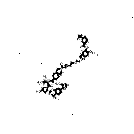 COc1cc2nn(CCNCCNCC(=O)N3CCC4(CCC(C(=O)N[C@H](C(=O)N5C[C@H](O)C[C@H]5C(=O)N[C@@H](C)c5ccc(-c6scnc6C)cc5)C(C)(C)C)CC4)CC3)cc2cc1NC(=O)c1cccc(C(F)(F)F)n1